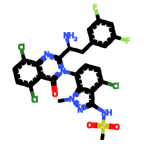 Cn1nc(NS(C)(=O)=O)c2c(Cl)ccc(-n3c([C@@H](N)Cc4cc(F)cc(F)c4)nc4c(Cl)ccc(Cl)c4c3=O)c21